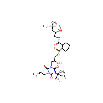 C=CCn1c(=O)n(CC(O)COC(=O)C2CCCCC2C(=O)OCC(O)CC(C)(C)C)c(=O)n(C(C)(C)C)c1=O